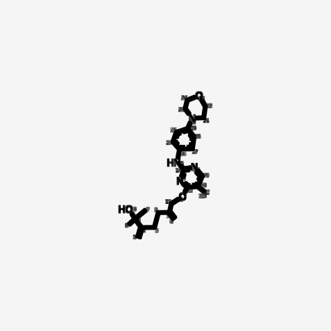 C=C(CCC(=C)C(C)(C)O)COc1nc(Nc2ccc(N3CCOCC3)cc2)ncc1F